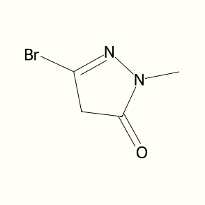 CN1N=C(Br)CC1=O